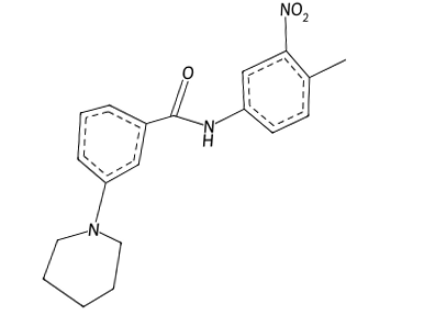 Cc1ccc(NC(=O)c2cccc(N3CCCCC3)c2)cc1[N+](=O)[O-]